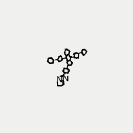 c1ccc(-c2ccc(-c3c4ccccc4c(-c4ccc(-c5ccccc5)cc4)c4cc(-c5ccc(-c6cn7ccccc7n6)cc5)ccc34)cc2)cc1